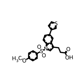 COc1ccc(S(=O)(=O)n2cc(CCC(=O)O)c3cc(-c4ccsc4)ccc32)cc1